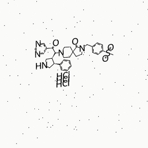 CS(=O)(=O)c1ccc(CN2CCC3(CCN(C(C(=O)c4cncnc4)[C@@H]4CNC[C@@H]4c4ccccc4)CC3)C2=O)cc1.Cl.Cl.Cl